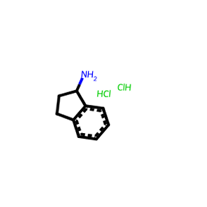 Cl.Cl.NC1CCc2ccccc21